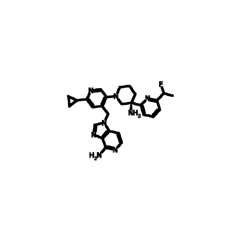 CC(F)c1cccc([C@@]2(N)CCCN(c3cnc(C4CC4)cc3Cn3cnc4c(N)nccc43)C2)n1